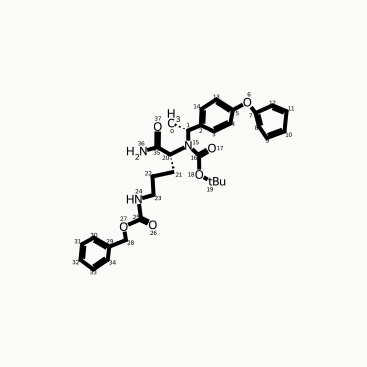 C[C@H](c1ccc(Oc2ccccc2)cc1)N(C(=O)OC(C)(C)C)[C@H](CCCNC(=O)OCc1ccccc1)C(N)=O